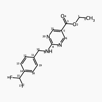 CCOC(=O)c1cnc(NCc2ccc(C(F)F)cc2)nc1